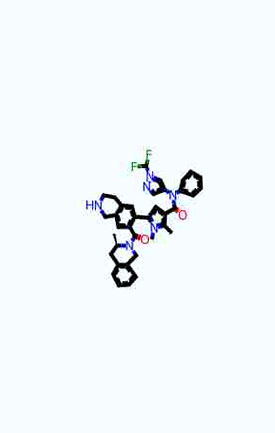 Cc1c(C(=O)N(c2ccccc2)c2cnn(C(F)F)c2)cc(-c2cc3c(cc2C(=O)N2Cc4ccccc4C[C@H]2C)CNCC3)n1C